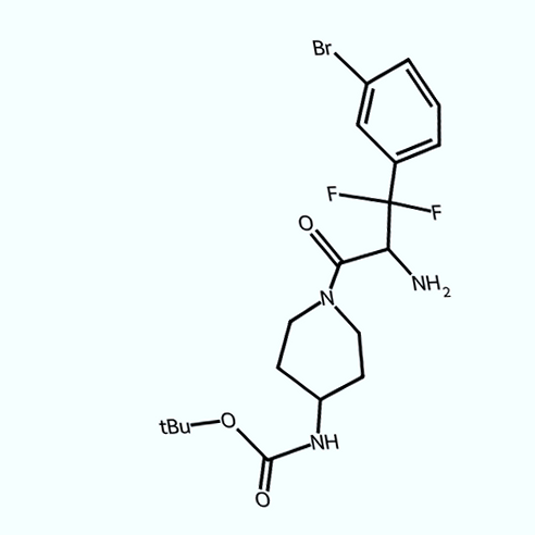 CC(C)(C)OC(=O)NC1CCN(C(=O)C(N)C(F)(F)c2cccc(Br)c2)CC1